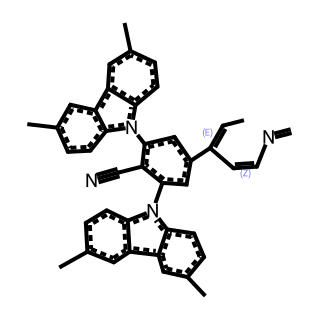 C=N/C=C\C(=C/C)c1cc(-n2c3ccc(C)cc3c3cc(C)ccc32)c(C#N)c(-n2c3ccc(C)cc3c3cc(C)ccc32)c1